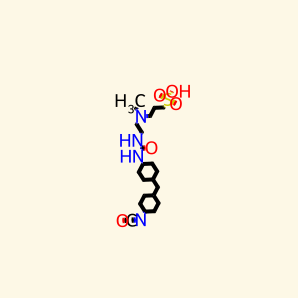 CCN(CCCS(=O)(=O)O)CCNC(=O)NC1CCC(CC2CCC(N=C=O)CC2)CC1